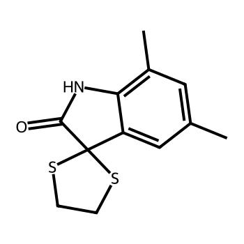 Cc1cc(C)c2c(c1)C1(SCCS1)C(=O)N2